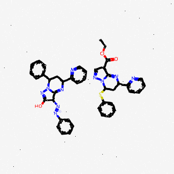 CCOC(=O)C1C=NN2C1=NC(c1ccccn1)CC2Sc1ccccc1.OC1=NN2C(=NC(c3ccccn3)CC2c2ccccc2)C1/N=N/c1ccccc1